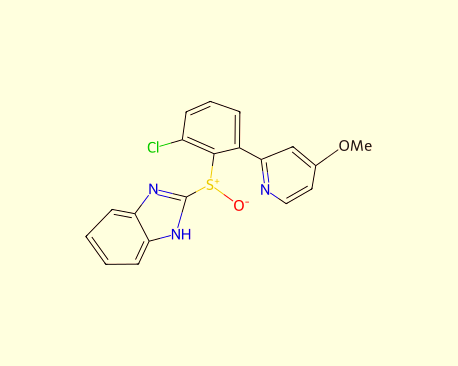 COc1ccnc(-c2cccc(Cl)c2[S+]([O-])c2nc3ccccc3[nH]2)c1